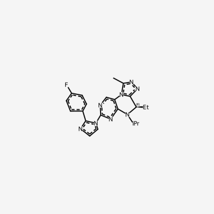 CC[C@@H]1c2nnc(C)n2-c2cnc(-n3ccnc3-c3ccc(F)cc3)nc2N1C(C)C